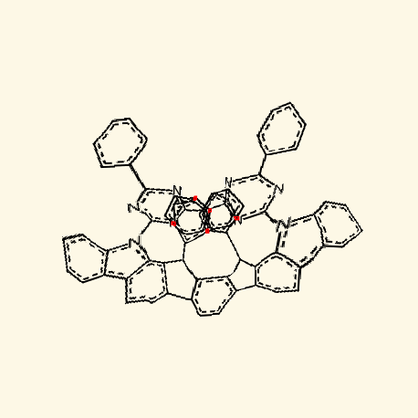 c1ccc(-c2nc(-c3ccccc3)nc(-n3c4ccccc4c4ccc5c(c43)C(c3ccccc3)c3c-5ccc4c3C(c3ccccc3)c3c-4ccc4c5ccccc5n(-c5nc(-c6ccccc6)nc(-c6ccccc6)n5)c34)n2)cc1